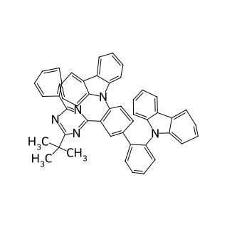 CC(C)(C)c1nc(-c2ccccc2)nc(-c2cc(-c3ccccc3-n3c4ccccc4c4ccccc43)ccc2-n2c3ccccc3c3ccccc32)n1